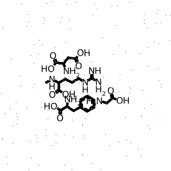 CNC(CCCNC(=N)N)C(=O)O.NC(CC(=O)O)C(=O)O.NC(Cc1ccccc1)C(=O)O.NCC(=O)O